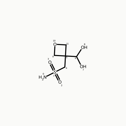 NS(=O)(=O)CC1(C(O)O)COC1